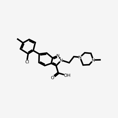 Cc1ccc(-c2ccc3c(C(=O)O)n(CCN4CCN(C)CC4)nc3c2)c(Cl)c1